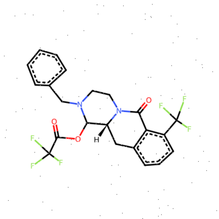 O=C1c2c(cccc2C(F)(F)F)C[C@@H]2C(OC(=O)C(F)(F)F)N(Cc3ccccc3)CCN12